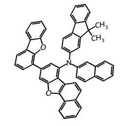 CC1(C)c2ccccc2-c2ccc(N(c3ccc4ccccc4c3)c3cc(-c4cccc5c4oc4ccccc45)cc4oc5c6ccccc6ccc5c34)cc21